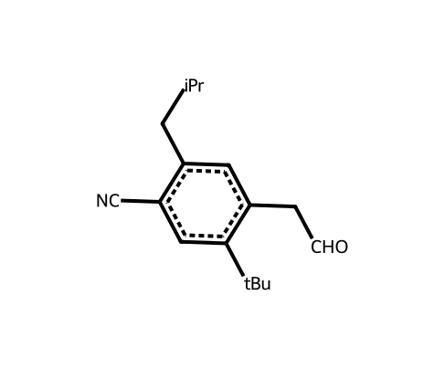 CC(C)Cc1cc(CC=O)c(C(C)(C)C)cc1C#N